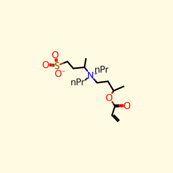 C=CC(=O)OC(C)CC[N+](CCC)(CCC)C(C)CCS(=O)(=O)[O-]